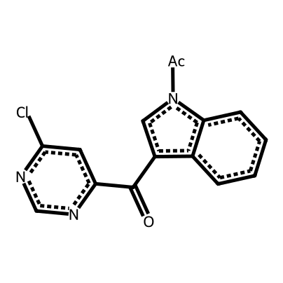 CC(=O)n1cc(C(=O)c2cc(Cl)ncn2)c2ccccc21